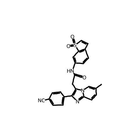 Cc1ccc2nc(-c3ccc(C#N)cc3)c(CC(=O)Nc3ccc4c(c3)S(=O)(=O)C=C4)n2c1